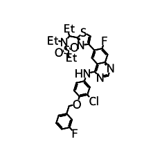 CCC(c1nc(-c2cc3c(Nc4ccc(OCc5cccc(F)c5)c(Cl)c4)ncnc3cc2F)cs1)N(CC)S(=O)(=O)CC